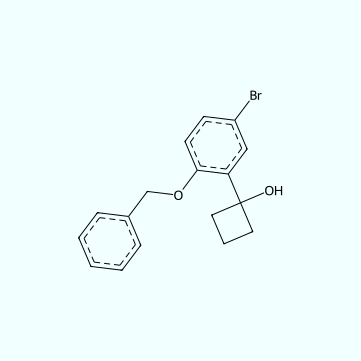 OC1(c2cc(Br)ccc2OCc2ccccc2)CCC1